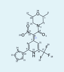 CC1CN(C(=O)/C(=C2/C=C(c3cccs3)NC(C(F)(F)F)=C2)[N+](=O)[O-])CC(C)O1